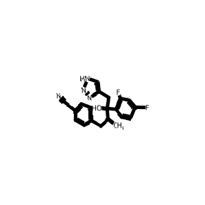 CC(Cc1ccc(C#N)cc1)C(O)(Cc1c[nH]nn1)c1ccc(F)cc1F